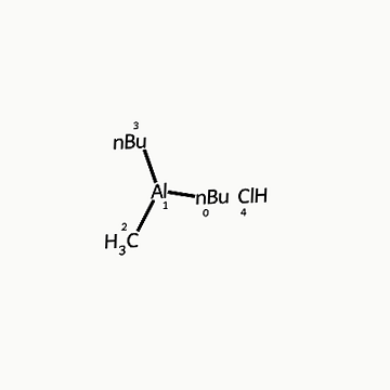 CCC[CH2][Al]([CH3])[CH2]CCC.Cl